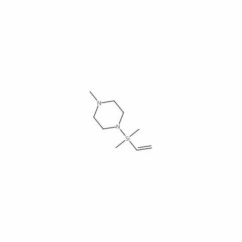 C=C[Si](C)(C)N1CCN(C)CC1